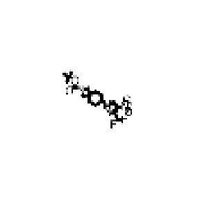 CC(C)(C)OC(=O)N1CC2(CCC(n3cc([N+](=O)[O-])c(C(F)F)n3)CC2)C1